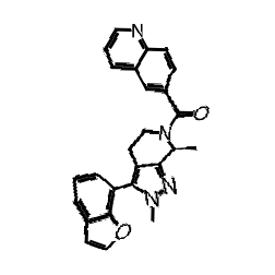 C[C@H]1c2nn(C)c(-c3cccc4ccoc34)c2CCN1C(=O)c1ccc2ncccc2c1